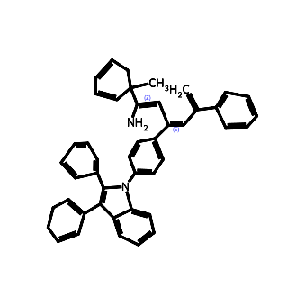 C=C(/C=C(\C=C(/N)C1(C)C=CC=CC1)c1ccc(-n2c(-c3ccccc3)c(C3=CCCC=C3)c3ccccc32)cc1)c1ccccc1